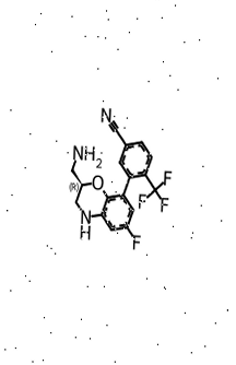 N#Cc1ccc(C(F)(F)F)c(-c2cc(F)cc3c2O[C@H](CN)CN3)c1